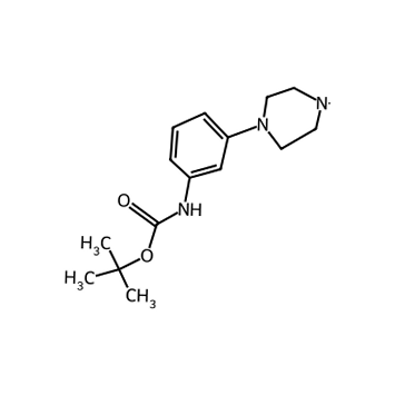 CC(C)(C)OC(=O)Nc1cccc(N2CC[N]CC2)c1